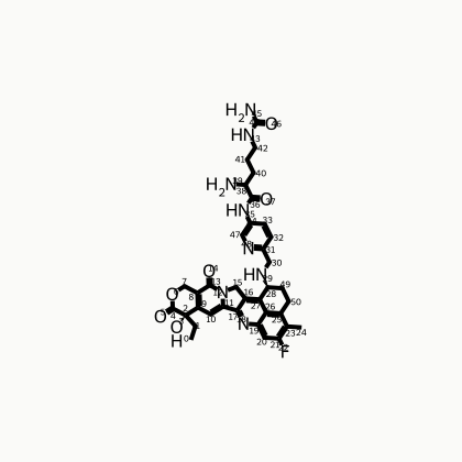 CC[C@@]1(O)C(=O)OCc2c1cc1n(c2=O)Cc2c-1nc1cc(F)c(C)c3c1c2[C@@H](NCc1ccc(NC(=O)C(N)CCCNC(N)=O)cn1)CC3